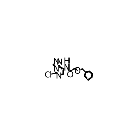 O=C(COCc1ccccc1)Nc1cnc(Cl)n2cnnc12